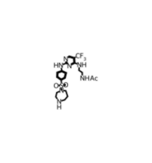 CC(=O)NCCNc1nc(Nc2ccc(S(=O)(=O)N3CCCNCC3)cc2)ncc1C(F)(F)F